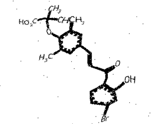 Cc1cc(/C=C/C(=O)c2ccc(Br)cc2O)cc(C)c1OC(C)(C)C(=O)O